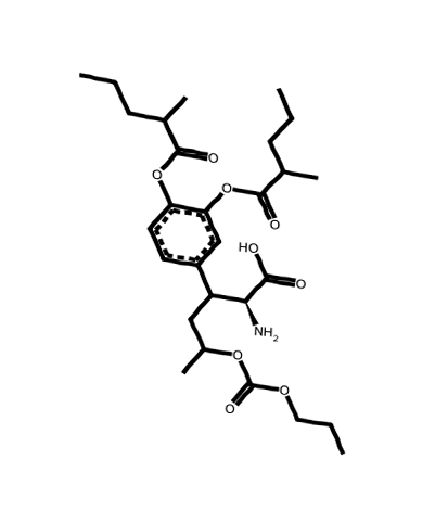 CCCOC(=O)OC(C)CC(c1ccc(OC(=O)C(C)CCC)c(OC(=O)C(C)CCC)c1)[C@H](N)C(=O)O